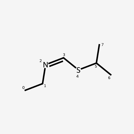 CC/N=C\SC(C)C